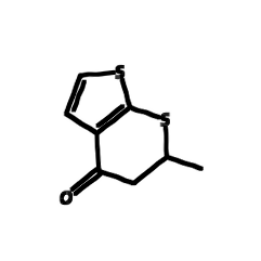 CC1CC(=O)c2ccsc2S1